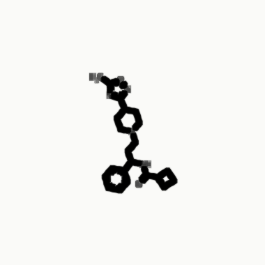 Cc1nc(C2CCN(CCC(NC(=O)C3CCC3)c3ccccc3)CC2)no1